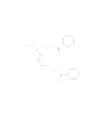 COC(C)(CCOC(=O)c1ccccc1)N=NC(C)CCOC(=O)c1ccccc1